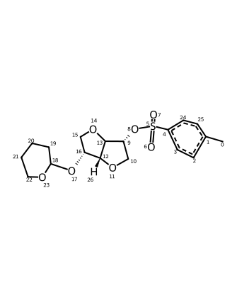 Cc1ccc(S(=O)(=O)O[C@@H]2CO[C@H]3C2OC[C@H]3OC2CCCCO2)cc1